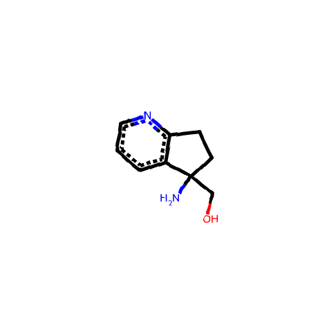 NC1(CO)CCc2ncccc21